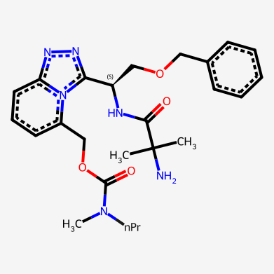 CCCN(C)C(=O)OCc1cccc2nnc([C@@H](COCc3ccccc3)NC(=O)C(C)(C)N)n12